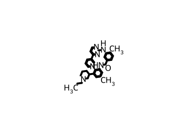 CCCN1CCCC(c2cc(C)cc(NC(=O)c3ccc(C)c(Nc4nccc(-c5cccnc5)n4)c3)c2)C1